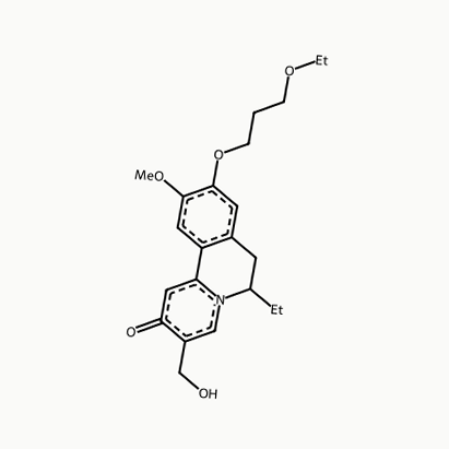 CCOCCCOc1cc2c(cc1OC)-c1cc(=O)c(CO)cn1C(CC)C2